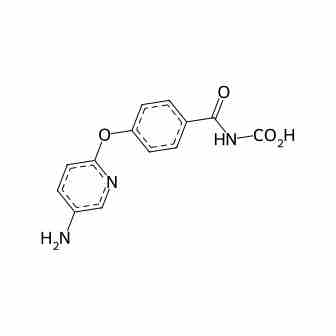 Nc1ccc(Oc2ccc(C(=O)NC(=O)O)cc2)nc1